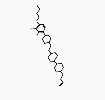 C=CCCC1CCC(C2CCC(CCC3CCC(c4ccc(OCCCC)c(F)c4F)CC3)CC2)CC1